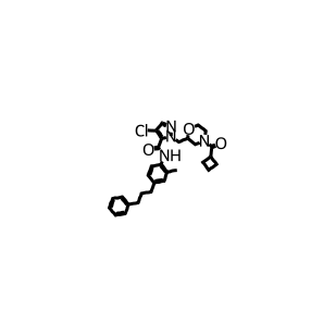 Cc1cc(CCCc2ccccc2)ccc1NC(=O)c1c(Cl)cnn1CC1CN(C(=O)C2CCC2)CCO1